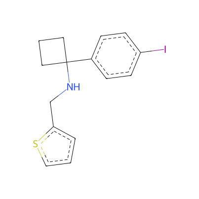 Ic1ccc(C2(NCc3cccs3)CCC2)cc1